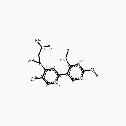 COc1ncc(-c2cc([C@H]3C[C@@H]3[C@H](C)F)c(Cl)cn2)c(OC)n1